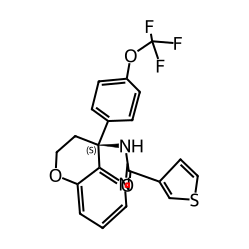 O=C(N[C@]1(c2ccc(OC(F)(F)F)cc2)CCOc2cccnc21)c1ccsc1